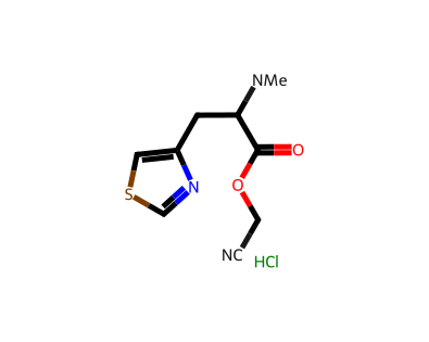 CNC(Cc1cscn1)C(=O)OCC#N.Cl